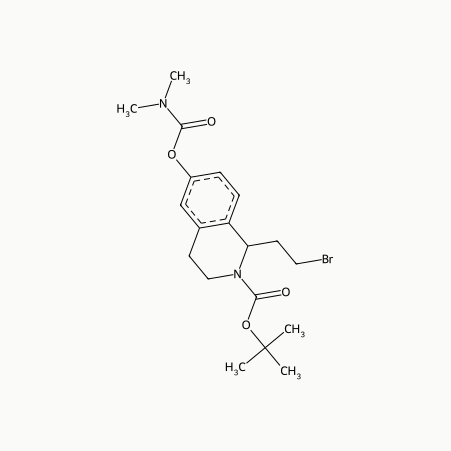 CN(C)C(=O)Oc1ccc2c(c1)CCN(C(=O)OC(C)(C)C)C2CCBr